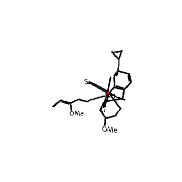 C/C=C(/CCN1C(=O)C2(NC1=S)c1cc(C3CC3)ccc1CC21CCC(OC)CC1)OC